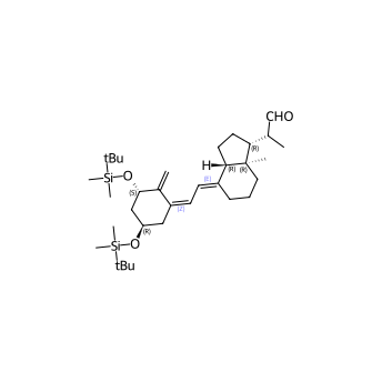 C=C1/C(=C\C=C2/CCC[C@]3(C)[C@@H](C(C)C=O)CC[C@@H]23)C[C@@H](O[Si](C)(C)C(C)(C)C)C[C@@H]1O[Si](C)(C)C(C)(C)C